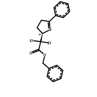 CCC(CC)(C(=O)OCc1ccccc1)[C@H]1CCC(c2ccccc2)=N1